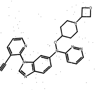 N#Cc1cccnc1-n1cnc2ccc(N(OC3CCN(C4COC4)CC3)c3cccnn3)cc21